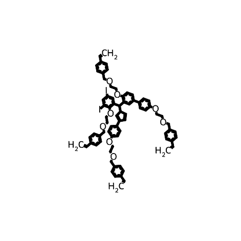 C=Cc1ccc(COCCOc2ccc(C3=CC(C(c4cc(-c5ccc(OCCOCc6ccc(C=C)cc6)cc5)ccc4OCCOCc4ccc(C=C)cc4)c4cc(I)cc(I)c4OCCOCc4ccc(C=C)cc4)C=C3)cc2)cc1